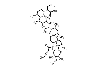 CCC(C(=O)[C@@H](C)[C@@H](O)[C@H](C)[C@@H]1O[C@@H](C(CC)C(=O)O)CC[C@@H]1C)[C@H]1O[C@]2(C=C[C@@H](NC(=O)CCCCl)[C@]3(CC[C@@](C)([C@H]4CC[C@](O)(CC)[C@H](C)O4)O3)O2)[C@H](C)C[C@@H]1C